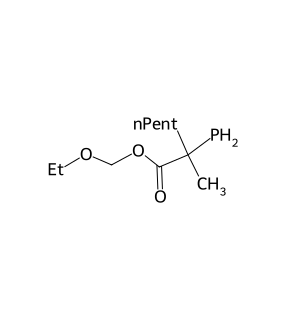 CCCCCC(C)(P)C(=O)OCOCC